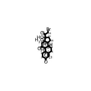 C[C@]12CCC(=O)C=C1CC[C@@H]1[C@@H]2C(=O)C[C@@]2(C)[C@H]1CC[C@]2(O)C(=O)CBr